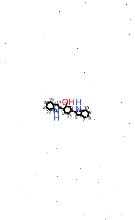 Oc1cc(-c2cc3ccccc3[nH]2)ccc1-c1cc2ccccc2[nH]1